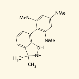 CNc1cc(NC)c(-c2cccc3c2NNC3(C)C)c(NC)c1